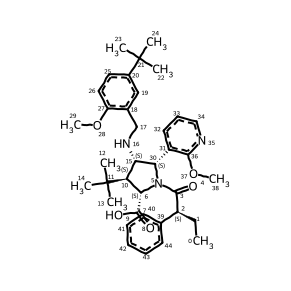 CC[C@H](C(=O)N1[C@H](C(=O)O)[C@@H](C(C)(C)C)[C@H](NCc2cc(C(C)(C)C)ccc2OC)[C@@H]1c1cccnc1OC)c1ccccc1